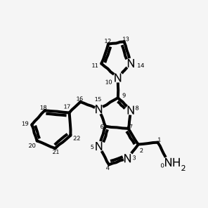 NCc1ncnc2c1nc(-n1cccn1)n2Cc1ccccc1